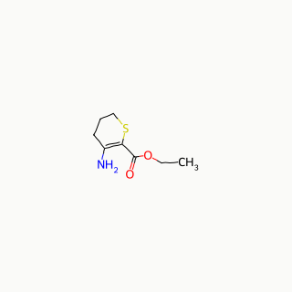 CCOC(=O)C1=C(N)CCCS1